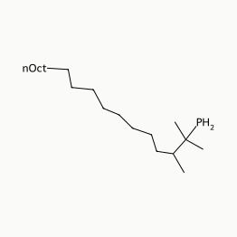 CCCCCCCCCCCCCCCCC(C)C(C)(C)P